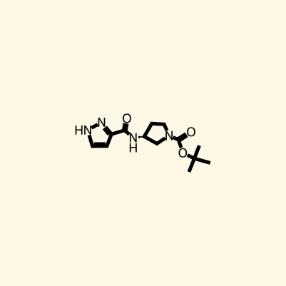 CC(C)(C)OC(=O)N1CC[C@@H](NC(=O)c2cc[nH]n2)C1